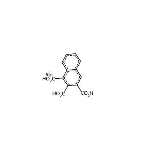 O=C(O)c1cc2ccccc2c(C(=O)O)c1C(=O)O.[Rb]